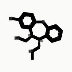 CNC[C@H]1c2ccccc2Oc2ccc(Cl)cc2[C@@H]1CO